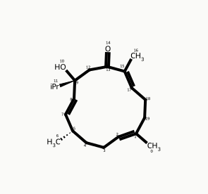 C/C1=C\CC[C@H](C)/C=C/[C@@](O)(C(C)C)CC(=O)/C(C)=C/CC1